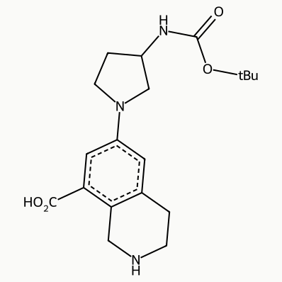 CC(C)(C)OC(=O)NC1CCN(c2cc3c(c(C(=O)O)c2)CNCC3)C1